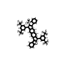 O=S1(=O)C2=C(c3ccccc31)c1cc3cc4c(cc3cc1=C2c1cc(C(F)(F)F)cc(C(F)(F)F)c1)-c1c(oc2ccccc12)C=4c1cc(C(F)(F)F)cc(C(F)(F)F)c1